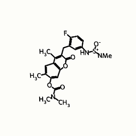 CN[S+]([O-])Nc1ccc(F)c(Cc2c(C)c3cc(C)c(OC(=O)N(C)C)cc3oc2=O)c1